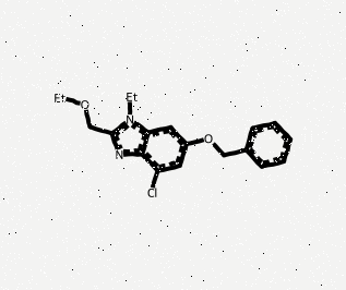 CCOCc1nc2c(Cl)cc(OCc3ccccc3)cc2n1CC